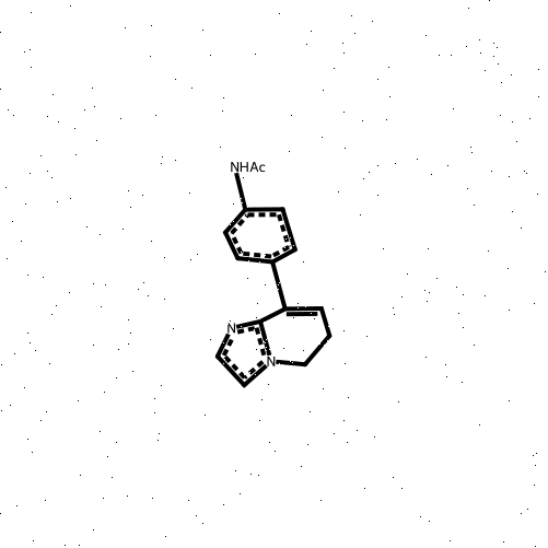 CC(=O)Nc1ccc(C2=CCCn3ccnc32)cc1